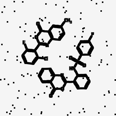 Cc1ccc2nc(-c3c(F)cccc3Cl)oc(=O)c2c1.O=c1oc(-c2ccccc2NS(=O)(=O)c2ccc(F)cc2)nc2ccccc12